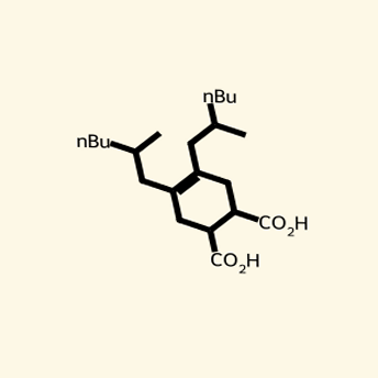 CCCCC(C)CC1=C(CC(C)CCCC)CC(C(=O)O)C(C(=O)O)C1